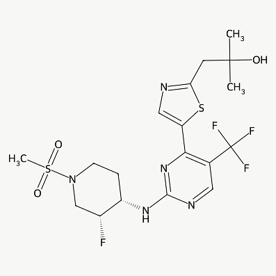 CC(C)(O)Cc1ncc(-c2nc(N[C@H]3CCN(S(C)(=O)=O)C[C@H]3F)ncc2C(F)(F)F)s1